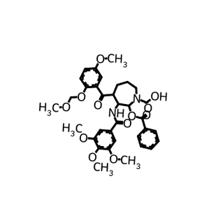 COCOc1ccc(OC)cc1C(=O)C1CCCN(C(=O)O)C(OC(=O)c2ccccc2)C1NC(=O)c1cc(OC)c(OC)c(OC)c1